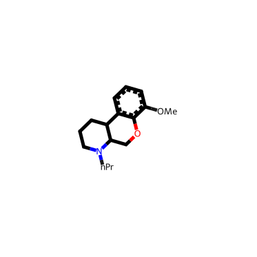 CCCN1CCCC2c3cccc(OC)c3OCC21